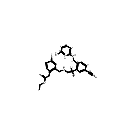 CCOC(=O)Cc1ccc(Br)cc1COCC(F)(F)c1cc(C#N)ccc1COc1cccc(Br)n1